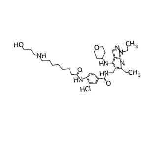 CCc1nc2c(cnn2CC)c(NC2CCOCC2)c1CNC(=O)c1ccc(NC(=O)CCCCCCCNCCCO)cc1.Cl